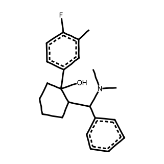 Cc1cc(C2(O)CCCCC2C(c2ccccc2)N(C)C)ccc1F